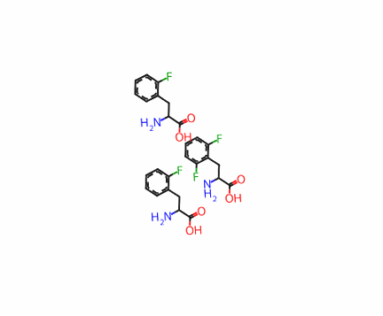 NC(Cc1c(F)cccc1F)C(=O)O.NC(Cc1ccccc1F)C(=O)O.NC(Cc1ccccc1F)C(=O)O